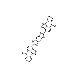 O=C1c2ccccc2-c2nsc3c(-c4nc5cc6sc(-c7ccc8c9c(nsc79)-c7ccccc7C8=O)nc6cc5s4)ccc1c23